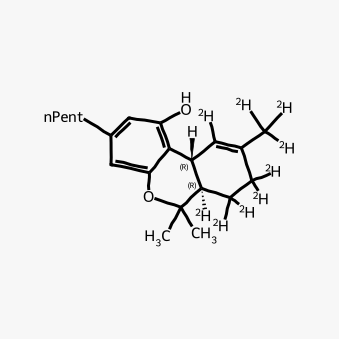 [2H]C1=C(C([2H])([2H])[2H])C([2H])([2H])C([2H])([2H])[C@]2([2H])[C@@H]1c1c(O)cc(CCCCC)cc1OC2(C)C